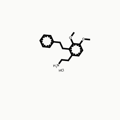 COc1ccc(CCN)c(CCc2ccccc2)c1OC.Cl